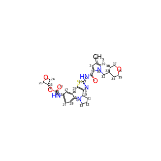 Cc1cc(C(=O)Nc2nc([C@H]3CCCN3c3ccc(NC(=O)OC4COC4)cc3)cs2)n(CC2CCOCC2)c1